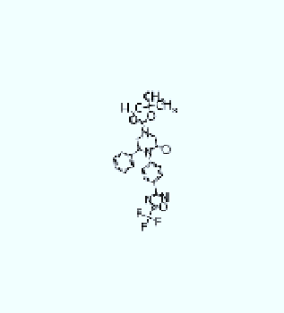 CC(C)(C)OC(=O)N1CC(=O)N(c2ccc(-c3noc(C(F)(F)F)n3)cc2)C(c2ccccc2)C1